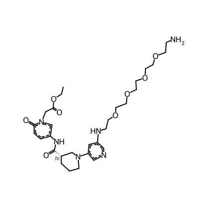 CCOC(=O)Cn1cc(NC(=O)[C@H]2CCCN(c3cncc(NCCOCCOCCOCCOCCN)c3)C2)ccc1=O